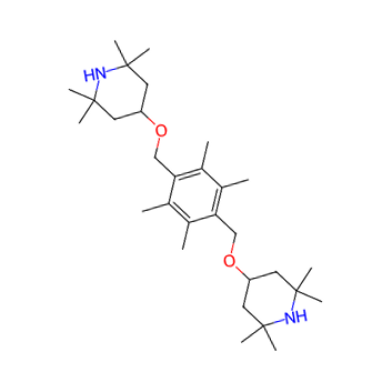 Cc1c(C)c(COC2CC(C)(C)NC(C)(C)C2)c(C)c(C)c1COC1CC(C)(C)NC(C)(C)C1